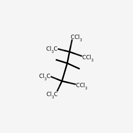 CC(C)(C(C(Cl)(Cl)Cl)(C(Cl)(Cl)Cl)C(Cl)(Cl)Cl)C(C(Cl)(Cl)Cl)(C(Cl)(Cl)Cl)C(Cl)(Cl)Cl